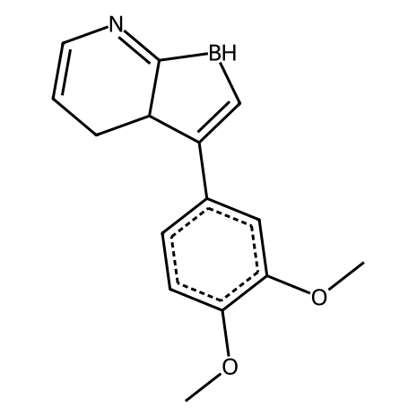 COc1ccc(C2=CBC3=NC=CCC23)cc1OC